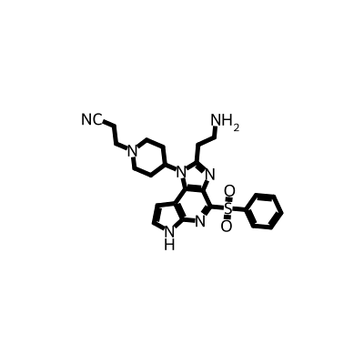 N#CCCN1CCC(n2c(CCN)nc3c(S(=O)(=O)c4ccccc4)nc4[nH]ccc4c32)CC1